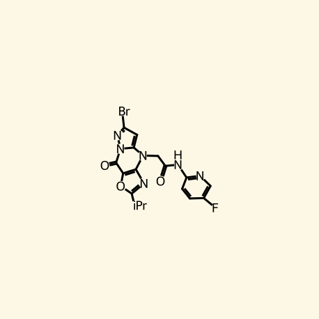 CC(C)c1nc2c(o1)c(=O)n1nc(Br)cc1n2CC(=O)Nc1ccc(F)cn1